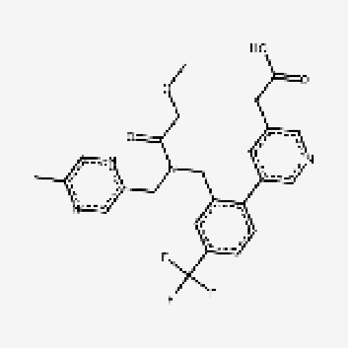 COCC(=O)N(Cc1cnc(C)cn1)Cc1cc(C(F)(F)F)ccc1-c1cncc(CC(=O)O)c1